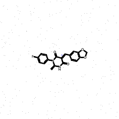 C=c1[nH]c(=O)/c(=C\c2ccc3c(c2)OCO3)c(=O)n1-c1ccc(F)cc1